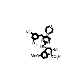 CC[C@@H]1C[C@H](Nc2ncc(N3CCOCC3)c(Cc3cc(C#N)cc(C(F)(F)F)c3)n2)c2cc(OC)ccc2N1C(=O)O